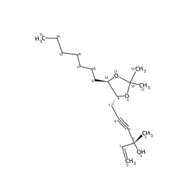 C=C[C@@](C)(O)C#CC[C@H]1OC(C)(C)O[C@@H]1CCCCCCC